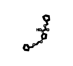 O=C(OCc1ccccc1)N(O)[C@@H]1C=C[C@H](OCCOCc2ccccc2)C1